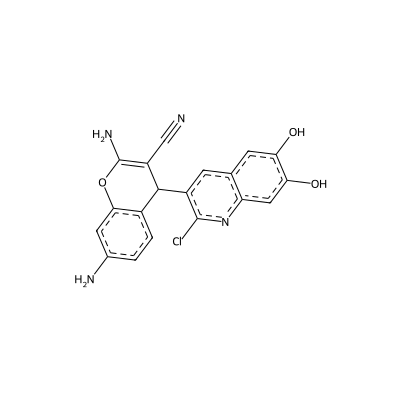 N#CC1=C(N)Oc2cc(N)ccc2C1c1cc2cc(O)c(O)cc2nc1Cl